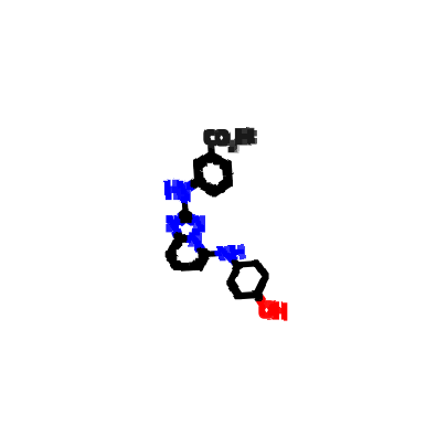 CCOC(=O)c1cccc(Nc2nc3cccc(NC4CCC(O)CC4)n3n2)c1